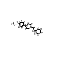 Cc1ccc(N2CCN(CCC3CC[CH]CC3)CC2)cc1